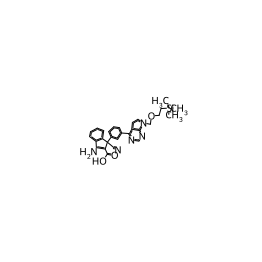 C[Si](C)(C)CCOCn1ccc2c(-c3cccc(C4(C#N)C(C(=O)O)=C(N)c5ccccc54)c3)ncnc21